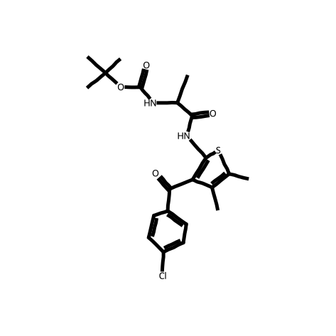 Cc1sc(NC(=O)C(C)NC(=O)OC(C)(C)C)c(C(=O)c2ccc(Cl)cc2)c1C